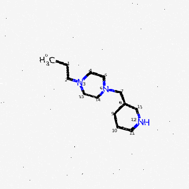 CCCN1CCN(CC2CCCNC2)CC1